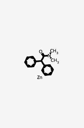 CN(C)C(=O)C(c1ccccc1)c1ccccc1.[Zn]